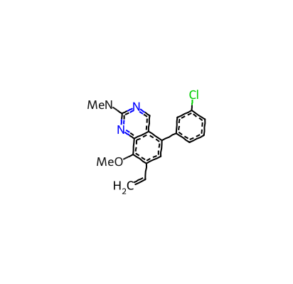 C=Cc1cc(-c2cccc(Cl)c2)c2cnc(NC)nc2c1OC